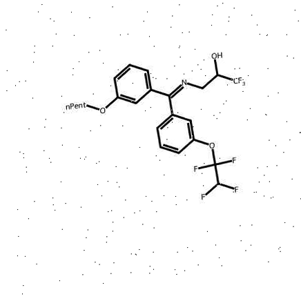 CCCCCOc1cccc(C(=NCC(O)C(F)(F)F)c2cccc(OC(F)(F)C(F)F)c2)c1